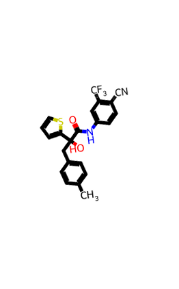 Cc1ccc(CC(O)(C(=O)Nc2ccc(C#N)c(C(F)(F)F)c2)c2cccs2)cc1